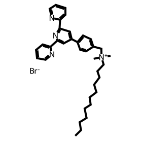 CCCCCCCCCCCC[N+](C)(C)Cc1ccc(-c2cc(-c3ccccn3)nc(-c3ccccn3)c2)cc1.[Br-]